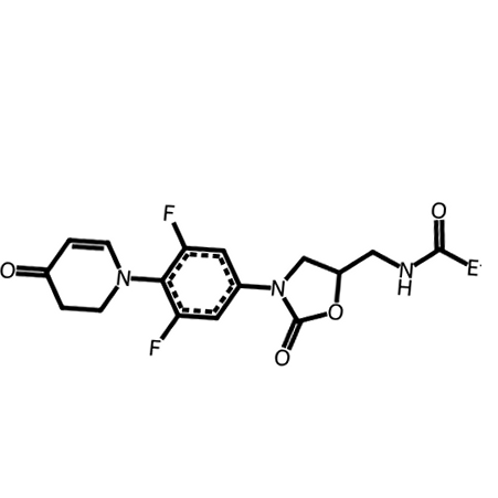 CCC(=O)NCC1CN(c2cc(F)c(N3C=CC(=O)CC3)c(F)c2)C(=O)O1